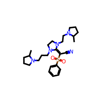 CC1CCCN1CCCN1CCN(CCN2CCCC2C)/C1=C(\C#N)S(=O)(=O)c1ccccc1